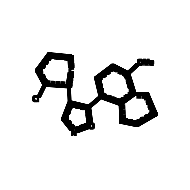 COc1ccc(-c2oncc2-c2ccccc2Cl)c2ccccc12